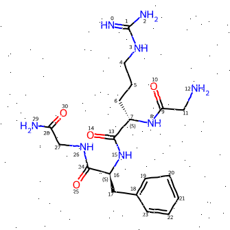 N=C(N)NCCC[C@H](NC(=O)CN)C(=O)N[C@@H](Cc1ccccc1)C(=O)NCC(N)=O